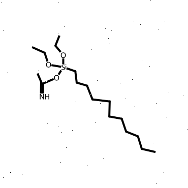 CCCCCCCCCCC[Si](OCC)(OCC)OC(C)=N